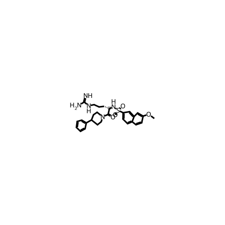 COc1ccc2ccc(S(=O)(=O)N[C@@H](CCCNC(=N)N)C(=O)N3CCC(c4ccccc4)CC3)cc2c1